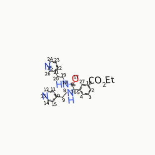 CCOC(=O)c1cccc(C(NCCc2ccncc2)C(=O)NCCc2cccnc2)c1